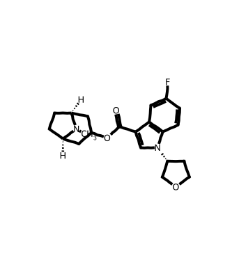 CN1[C@@H]2CC[C@H]1CC(OC(=O)c1cn([C@@H]3CCOC3)c3ccc(F)cc13)C2